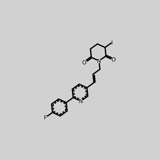 O=C1CCC(I)C(=O)N1CC=Cc1ccc(-c2ccc(F)cc2)nc1